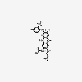 C=CC(=O)Nc1cc(Nc2ncc(Cl)c(Nc3ccc(C)cc3P(C)(C)=O)n2)c(OC)cc1N(C)CCN(C)C